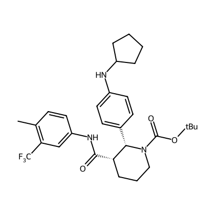 Cc1ccc(NC(=O)[C@H]2CCCN(C(=O)OC(C)(C)C)[C@H]2c2ccc(NC3CCCC3)cc2)cc1C(F)(F)F